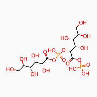 O=C(OP(=O)(O)O[C@@H](C(=O)OP(=O)(O)O)[C@@H](O)[C@H](O)[C@H](O)CO)[C@H](O)[C@@H](O)[C@H](O)[C@H](O)CO